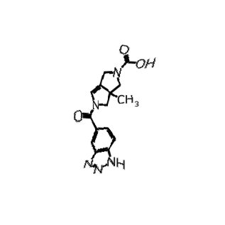 CC12CN(C(=O)c3ccc4[nH]nnc4c3)C=C1CN(C(=O)O)C2